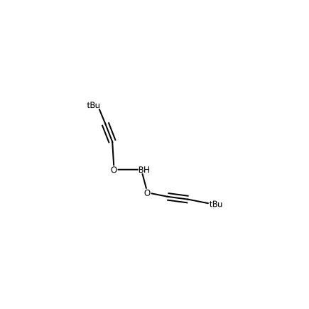 CC(C)(C)C#COBOC#CC(C)(C)C